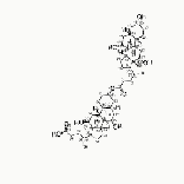 C[C@H](CCC(=O)O[C@@H]1CC[C@@]2(C)[C@@H](C1)C[C@@H](O)[C@@H]1[C@@H]2C[C@H](O)[C@]2(C)[C@@H]([C@H](C)CCC(=O)O)CC[C@@H]12)[C@H]1CC[C@H]2[C@@H]3[C@H](O)C[C@@H]4C[C@H](O)CC[C@]4(C)[C@H]3C[C@H](O)[C@]12C